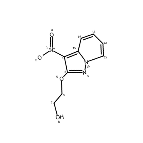 O=[N+]([O-])c1c(OCCO)nn2ccccc12